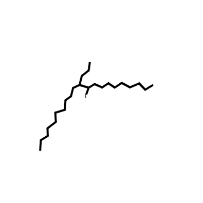 CCCCCCCCCCC(CCC)C(I)CCCCCCCCC